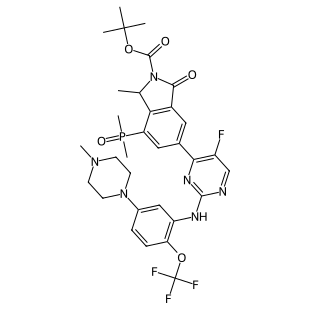 CC1c2c(cc(-c3nc(Nc4cc(N5CCN(C)CC5)ccc4OC(F)(F)F)ncc3F)cc2P(C)(C)=O)C(=O)N1C(=O)OC(C)(C)C